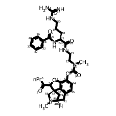 CCCC(=O)C1Oc2c(OC(=O)N(C)CCNC(=O)[C@H](CCCNC(=N)N)NC(=O)c3ccccc3)ccc3c2[C@]12C[C@@H](C3)N(C)C2